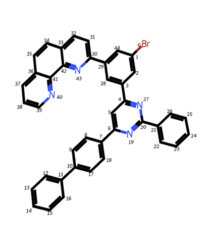 Brc1cc(-c2cc(-c3ccc(-c4ccccc4)cc3)nc(-c3ccccc3)n2)cc(-c2ccc3ccc4cccnc4c3n2)c1